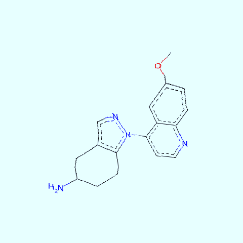 COc1ccc2nccc(-n3ncc4c3CCC(N)C4)c2c1